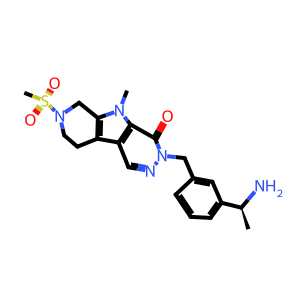 C[C@H](N)c1cccc(Cn2ncc3c4c(n(C)c3c2=O)CN(S(C)(=O)=O)CC4)c1